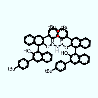 CC(C)(C)c1ccc(-c2cc3ccccc3c(-c3c(OPNPOc4c(-c5ccc(C(C)(C)C)cc5)cc5ccccc5c4-c4c(O)c(-c5ccc(C(C)(C)C)cc5)cc5ccccc45)c(-c4ccc(C(C)(C)C)cc4)cc4ccccc34)c2O)cc1